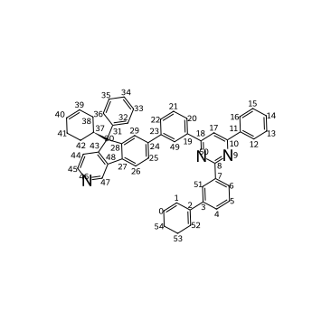 C1=CC(c2cccc(-c3nc(-c4ccccc4)cc(-c4cccc(-c5ccc6c(c5)C(c5ccccc5)([C@@H]5CC=CCC5)c5ccncc5-6)c4)n3)c2)=CCC1